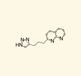 c1cnc2nc(CCCc3c[nH]nn3)ccc2c1